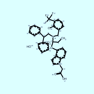 CC[C@@](C)(Oc1cccc2c1ccn2CC(=O)O)N(Cc1cccc(C(F)(F)F)c1Cl)CC(c1ccccc1)c1ccccc1.Cl